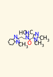 Cc1nc(C(=O)O)c(C(=O)NCCc2nc3ccccc3n2C)n1C